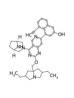 C#Cc1cccc2cc(O)cc(-c3cc4nc(OCC56CC(CC)CN5CC(CC)C6)nc(N5C[C@H]6CC[C@@H](C5)N6)c4cn3)c12